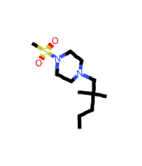 CCCC(C)(C)CN1CCN(S(C)(=O)=O)CC1